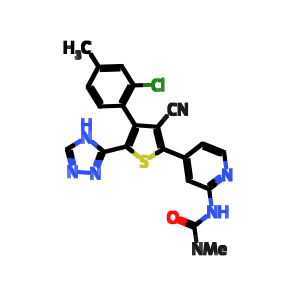 CNC(=O)Nc1cc(-c2sc(-c3nnc[nH]3)c(-c3ccc(C)cc3Cl)c2C#N)ccn1